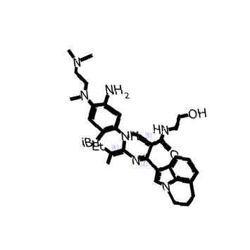 C\C=C(C(=O)NCCO)/C(=N\C(Nc1cc(N)c(N(C)CCN(C)C)cc1C(C)CC)=C(/C)CC)c1cn2c3c(cccc13)CCC2